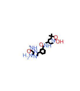 CNC(=O)c1nc(-c2cccc(C(=O)NCC3CCN(C(=O)O)C(C(C)(C)C)C3)c2)cnc1N